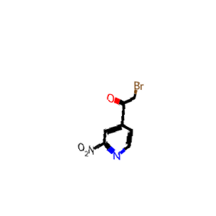 O=C(CBr)c1ccnc([N+](=O)[O-])c1